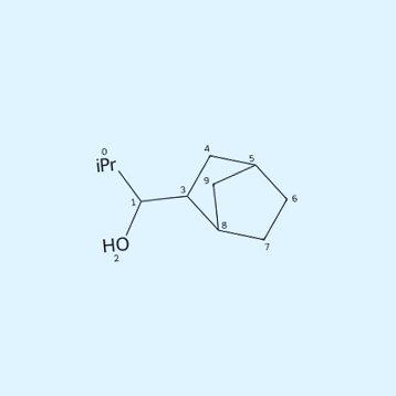 CC(C)C(O)C1CC2CCC1C2